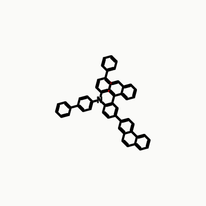 c1ccc(-c2ccc(N(c3ccc(-c4ccccc4)cc3)c3ccc(-c4ccc5c(ccc6ccccc65)c4)cc3-c3cccc4ccccc34)cc2)cc1